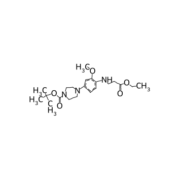 CCOC(=O)CCNc1ccc(N2CCN(C(=O)OC(C)(C)C)CC2)cc1OC